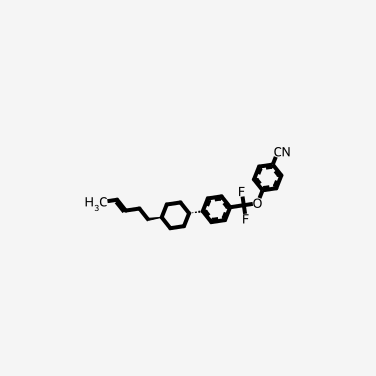 CC=CCC[C@H]1CC[C@H](c2ccc(C(F)(F)Oc3ccc(C#N)cc3)cc2)CC1